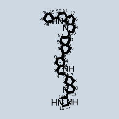 C1=CC2=CC=C(c3ccc4ccc(C5=CNCCN5)nc4c3)NC2C=C1c1ccc2cc(-c3ccc4ccc5c(c4n3)NC(c3ccccc3)C=C5)ccc2c1